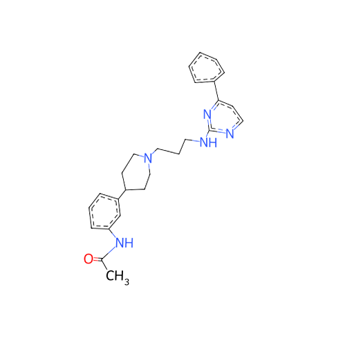 CC(=O)Nc1cccc(C2CCN(CCCNc3nccc(-c4ccccc4)n3)CC2)c1